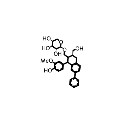 COc1cc(C2c3cc(-c4ccccc4)ccc3C[C@H](CO)C2CO[C@@H]2OC[C@@H](O)[C@H](O)[C@H]2O)ccc1O